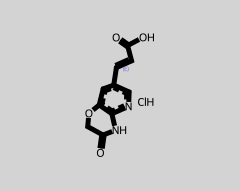 Cl.O=C(O)/C=C/c1cnc2c(c1)OCC(=O)N2